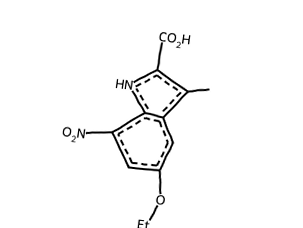 CCOc1cc([N+](=O)[O-])c2[nH]c(C(=O)O)c(C)c2c1